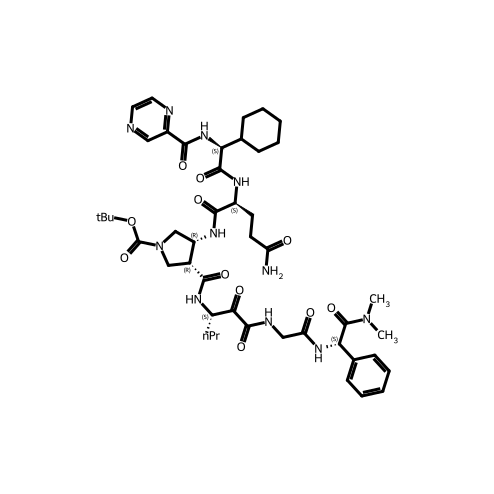 CCC[C@H](NC(=O)[C@@H]1CN(C(=O)OC(C)(C)C)C[C@@H]1NC(=O)[C@H](CCC(N)=O)NC(=O)[C@@H](NC(=O)c1cnccn1)C1CCCCC1)C(=O)C(=O)NCC(=O)N[C@H](C(=O)N(C)C)c1ccccc1